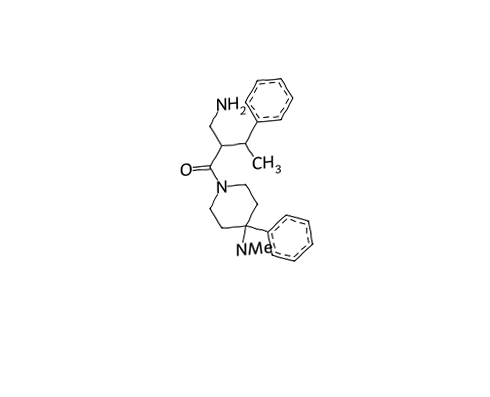 CNC1(c2ccccc2)CCN(C(=O)C(CN)C(C)c2ccccc2)CC1